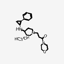 Cl.Cl.O=C(CCN1CCC(N[C@@H]2C[C@H]2c2ccccc2)CC1)N1CCOCC1